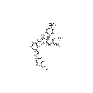 CCOC(=O)C1=C(C)N=c2s/c(=C\c3cccc(OCc4ccc([N+](=O)[O-])cc4)c3)c(=O)n2C1c1ccc(OC)cc1